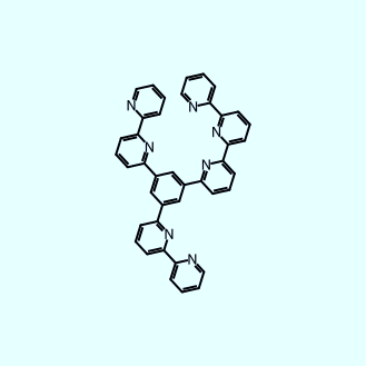 c1ccc(-c2cccc(-c3cc(-c4cccc(-c5ccccn5)n4)cc(-c4cccc(-c5cccc(-c6ccccn6)n5)n4)c3)n2)nc1